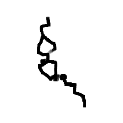 CCCC=CO[C@@H]1CCC[C@@H]([C@H]2CC[C@H](CCC)CC2)C1